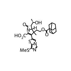 CSc1ncn2cc(C3=C(C(=O)O)N4C(=O)[C@H]([C@@H](C)O)[C@@H]4C3(C)CCOC(=O)C34CC5CC(CC(C5)C3)C4)sc12